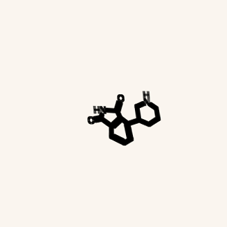 O=C1NC(=O)c2c1cccc2C1CCCNC1